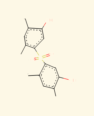 Cc1cc(C)c(S(=O)(=O)c2cc(O)c(C)cc2C)cc1O